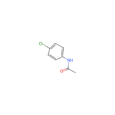 CC(=O)Nc1c[c]c(Cl)cc1